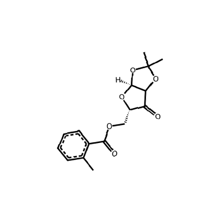 Cc1ccccc1C(=O)OC[C@@H]1O[C@H]2OC(C)(C)OC2C1=O